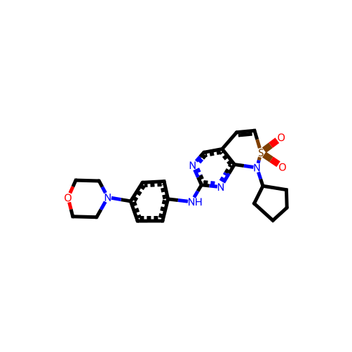 O=S1(=O)C=Cc2cnc(Nc3ccc(N4CCOCC4)cc3)nc2N1C1CCCC1